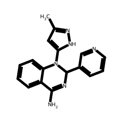 Cc1cc(N2c3ccccc3C(N)=NC2c2cccnc2)[nH]n1